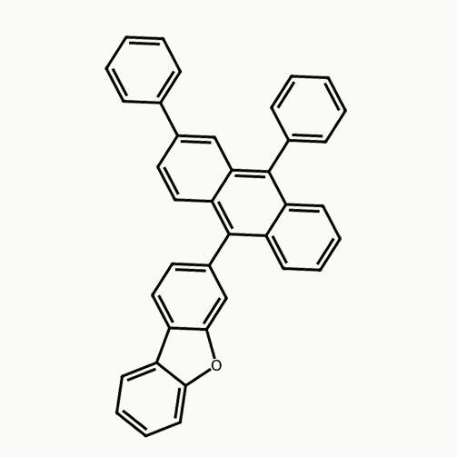 c1ccc(-c2ccc3c(-c4ccc5c(c4)oc4ccccc45)c4ccccc4c(-c4ccccc4)c3c2)cc1